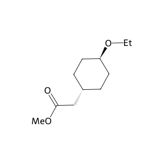 CCO[C@H]1CC[C@H](CC(=O)OC)CC1